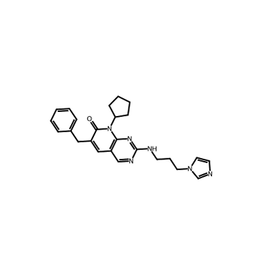 O=c1c(Cc2ccccc2)cc2cnc(NCCCn3ccnc3)nc2n1C1CCCC1